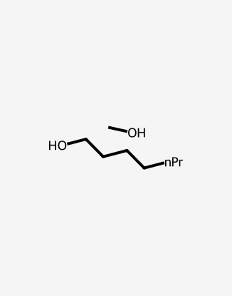 CCCCCCCO.CO